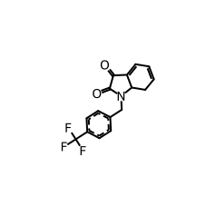 O=C1C(=O)N(Cc2ccc(C(F)(F)F)cc2)C2CC=CC=C12